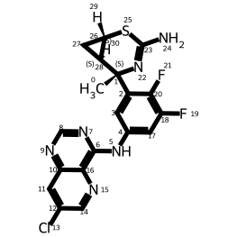 C[C@]1(c2cc(Nc3ncnc4cc(Cl)cnc34)cc(F)c2F)N=C(N)S[C@H]2C[C@H]21